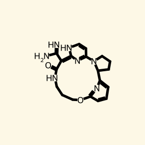 N=C(N)/C1=C2/N=C(C=CN2)N2CCCC2c2cccc(n2)OCCCNC1=O